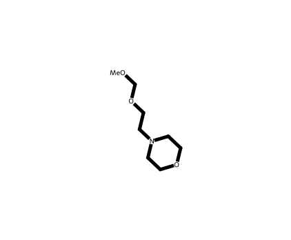 COCOCCN1CCOCC1